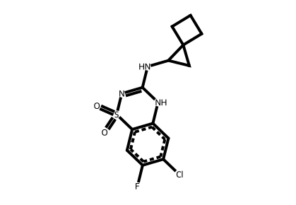 O=S1(=O)N=C(NC2CC23CCC3)Nc2cc(Cl)c(F)cc21